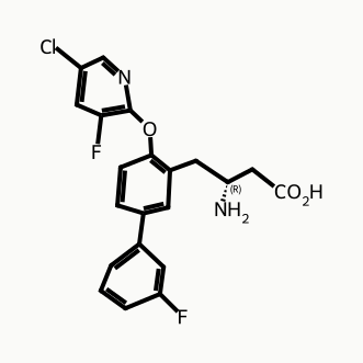 N[C@@H](CC(=O)O)Cc1cc(-c2cccc(F)c2)ccc1Oc1ncc(Cl)cc1F